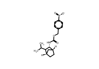 CC(C)C1[C@H]2CC[C@H](C2)[C@H]1NC(=O)OCc1ccc([N+](=O)[O-])cc1